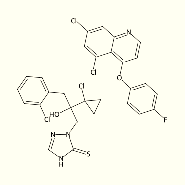 Fc1ccc(Oc2ccnc3cc(Cl)cc(Cl)c23)cc1.OC(Cc1ccccc1Cl)(Cn1nc[nH]c1=S)C1(Cl)CC1